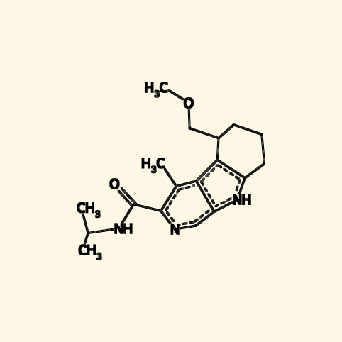 COCC1CCCc2[nH]c3cnc(C(=O)NC(C)C)c(C)c3c21